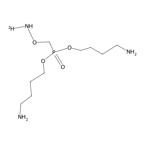 [2H]NOCP(=O)(OCCCCN)OCCCCN